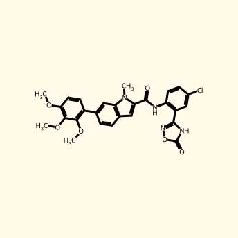 COc1ccc(-c2ccc3cc(C(=O)Nc4ccc(Cl)cc4-c4noc(=O)[nH]4)n(C)c3c2)c(OC)c1OC